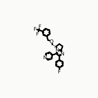 Fc1ccc(-c2nc3n(c2-c2ccncc2)[C@H](COCc2cccc(C(F)(F)F)c2)CC3)cc1